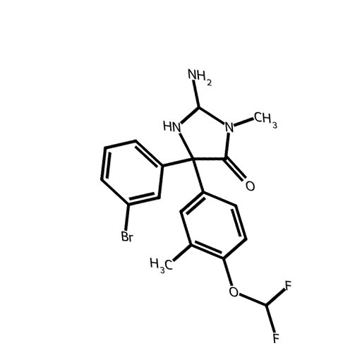 Cc1cc(C2(c3cccc(Br)c3)NC(N)N(C)C2=O)ccc1OC(F)F